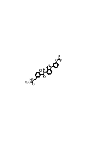 CC(C)(C)C(=O)NCc1ccc(Cl)c(C(=O)Nc2cccc3c2cnn3-c2cccc(OC(F)F)c2)c1